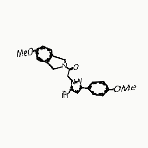 COc1ccc(-c2cc(C(C)C)n(CC(=O)N3Cc4ccc(OC)cc4C3)n2)cc1